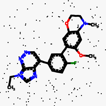 CCn1cnc2c(-c3ccc(F)c(-c4cc5c(cc4OC)N(C)CCO5)c3)cnnc21